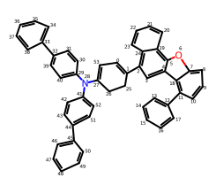 C1=C(c2cc3c(oc4cccc(-c5ccccc5)c43)c3ccccc23)CCC(N(c2ccc(-c3ccccc3)cc2)c2ccc(-c3ccccc3)cc2)=C1